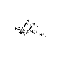 N.N.N.NC(=O)O.NC(=O)O